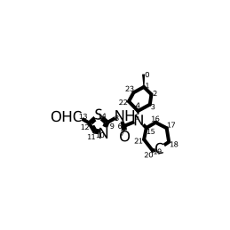 C[C@H]1CC[C@H](N(C(=O)Nc2ncc(C=O)s2)C2CCCCCC2)CC1